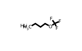 CCCCOC(F)(F)F.[LiH]